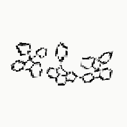 c1ccc(-n2c3cc(-c4ccc5c(c4)C(c4ccccc4)(c4ccccc4)c4ccccc4-5)cc4ccc5cc(-c6ccc7c(c6)C(c6ccccc6)(c6ccccc6)c6ccccc6-7)cc2c5c43)cc1